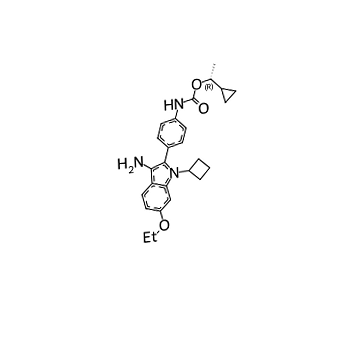 CCOc1ccc2c(N)c(-c3ccc(NC(=O)O[C@H](C)C4CC4)cc3)n(C3CCC3)c2c1